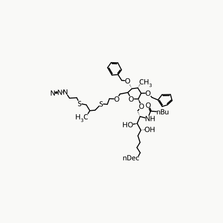 CCCCCCCCCCCCCC[C@@H](O)[C@@H](O)[C@H](CO[C@H]1OC(COCCSCC(C)CSCCN=[N+]=[N-])[C@H](OCc2ccccc2)[C@H](C)C1OCc1ccccc1)NC(=O)CCCC